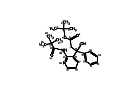 CC(C)(C)OC(=O)CC(O)(c1ccccc1)c1cccnc1NC(=O)C(C)(C)C